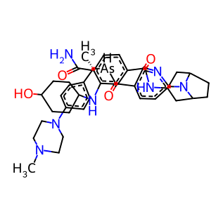 C[C@H]([AsH]C(=O)c1ccc(N2C3CCC2CC(NC(=O)c2ccc(C(N)=O)c(NC4CCC(O)CC4)c2)C3)nc1)c1ccc(N2CCN(C)CC2)cc1